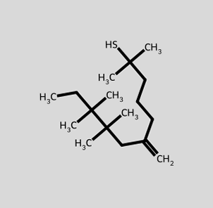 C=C(CCCC(C)(C)S)CC(C)(C)C(C)(C)CC